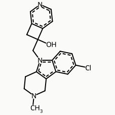 CN1CCc2c(c3cc(Cl)ccc3n2CC2(O)Cc3cnccc32)C1